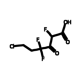 O=C(O)C(F)C(=O)C(F)(F)CCCl